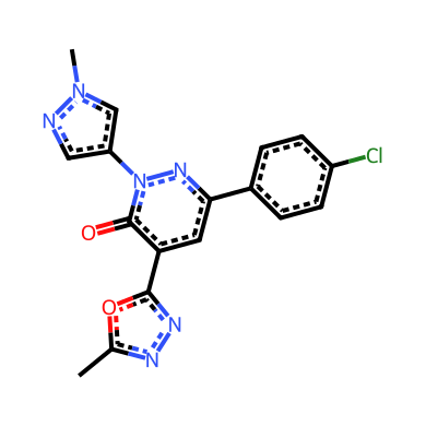 Cc1nnc(-c2cc(-c3ccc(Cl)cc3)nn(-c3cnn(C)c3)c2=O)o1